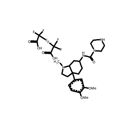 COc1ccc(C23CCC(NC(=O)N4CCNCC4)CC2N(C)CC3)cc1OC.O=C(O)C(F)(F)F.O=C(O)C(F)(F)F